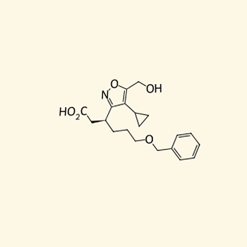 O=C(O)C[C@H](CCCOCc1ccccc1)c1noc(CO)c1C1CC1